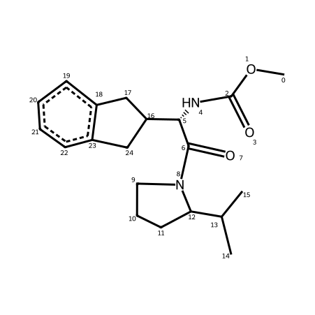 COC(=O)N[C@H](C(=O)N1CCCC1C(C)C)C1Cc2ccccc2C1